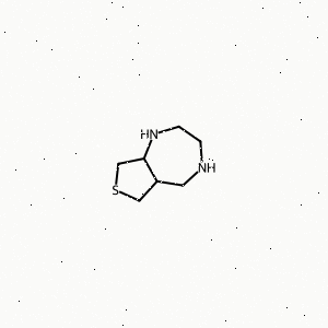 C1CNC2CSCC2CN1